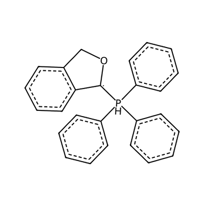 c1ccc([PH]([C]2OCc3ccccc32)(c2ccccc2)c2ccccc2)cc1